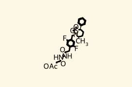 CC(=O)OCC(=O)NNC(=O)Cc1cc(F)c(CN2[C@@H](C)CC[C@H](c3ccccc3)S2(=O)=O)cc1F